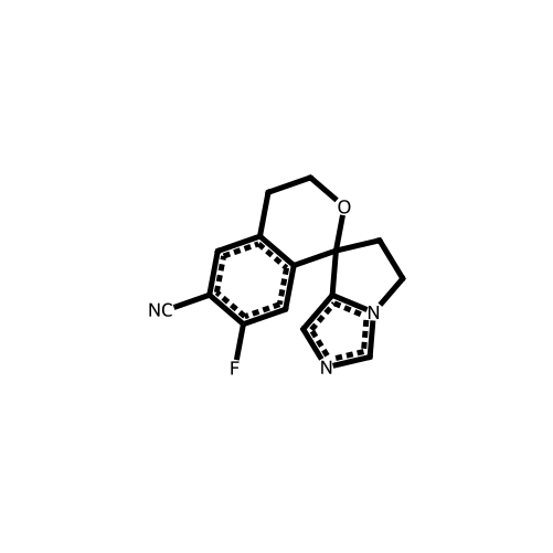 N#Cc1cc2c(cc1F)C1(CCn3cncc31)OCC2